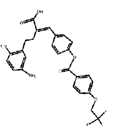 Nc1ccc(N)c(CC/C(=C\c2ccc(OC(=O)c3ccc(OCC(F)(F)F)cc3)cc2)C(=O)O)c1